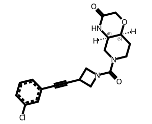 O=C1CO[C@H]2CCN(C(=O)N3CC(C#Cc4cccc(Cl)c4)C3)C[C@H]2N1